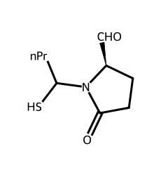 CCCC(S)N1C(=O)CC[C@@H]1C=O